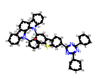 c1ccc(-c2nc(-c3ccccc3)nc(-c3ccc4c(c3)sc3ccc(-n5c6ccccc6c6ccc7c8ccccc8n(-c8ccccc8)c7c65)cc34)n2)cc1